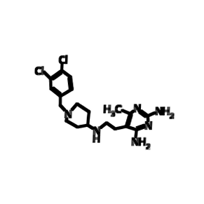 Cc1nc(N)nc(N)c1CCNC1CCN(Cc2ccc(Cl)c(Cl)c2)CC1